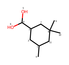 CC1CC(C(O)O)CC(C)(C)C1